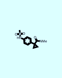 CNC(=O)C1(c2ccc(NS(C)(=O)=O)cc2)CC1